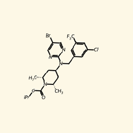 CC(C)OC(=O)N1[C@H](C)CC(N(Cc2cc(Cl)cc(C(F)(F)F)c2)c2ncc(Br)cn2)C[C@@H]1C